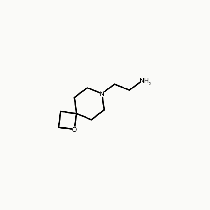 NCCN1CCC2(CCO2)CC1